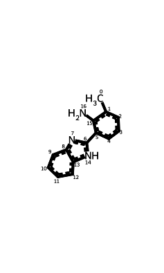 Cc1cccc(-c2nc3ccccc3[nH]2)c1N